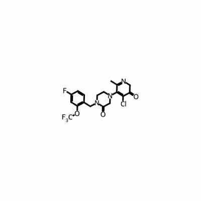 CC1=NCC(=O)C(Cl)=C1N1CCN(Cc2ccc(F)cc2OC(F)(F)F)C(=O)C1